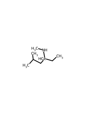 C[CH2][GeH]([CH2]C(C)C)[NH]C